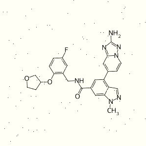 Cn1ncc2c(-c3ccn4nc(N)nc4c3)cc(C(=O)NCc3cc(F)ccc3OC3CCOC3)cc21